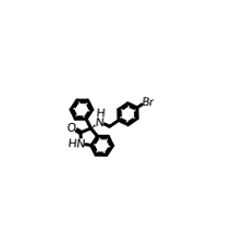 O=C1Nc2ccccc2[C@]1(NCc1ccc(Br)cc1)c1ccccc1